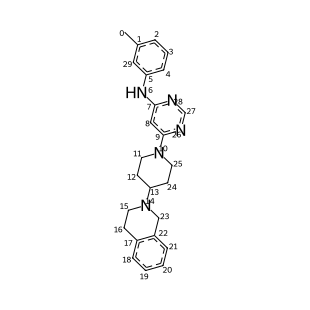 Cc1cccc(Nc2cc(N3CCC(N4CCc5ccccc5C4)CC3)ncn2)c1